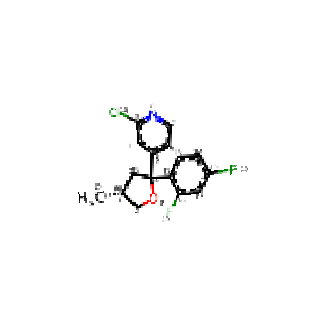 C[C@H]1COC(c2ccnc(Cl)c2)(c2ccc(F)cc2F)C1